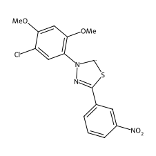 COc1cc(OC)c(N2[CH]SC(c3cccc([N+](=O)[O-])c3)=N2)cc1Cl